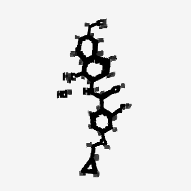 Cc1c(NC(=O)c2ccc(OCC3CC3)cc2F)ccc2cc(CCl)cnc12.Cl